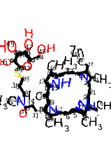 C=Cc1c(C)c2cc3nc(c(C)c4cc(C)c(cc5nc(cc1[nH]2)C(C)=C5CC)[nH]4)[C@@H](CCC(=O)N(C)CCCS[C@@H]1O[C@H](CO)[C@@H](O)[C@H](O)[C@H]1O)[C@@H]3C.[Zn]